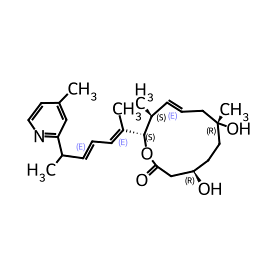 C/C(=C\C=C\C(C)c1cc(C)ccn1)[C@H]1OC(=O)C[C@H](O)CC[C@@](C)(O)C/C=C/[C@@H]1C